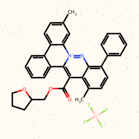 Cc1ccc2c3ccccc3c3c(C(=O)OCC4CCCO4)c4c(C)ccc(-c5ccccc5)c4n[n+]3c2c1.F[B-](F)(F)F